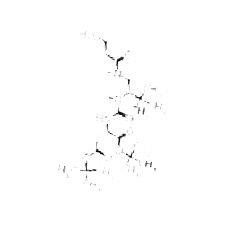 CCCC(=O)NC[C@H](NC(=O)N[C@@H](CC(=O)OC(C)(C)C)C(=O)OC(C)(C)C)C(C)(C)C